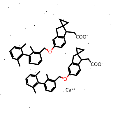 Cc1cccc(C)c1-c1cccc(COc2ccc3c(c2)CC2(CC2)C3CC(=O)[O-])c1C.Cc1cccc(C)c1-c1cccc(COc2ccc3c(c2)CC2(CC2)C3CC(=O)[O-])c1C.[Ca+2]